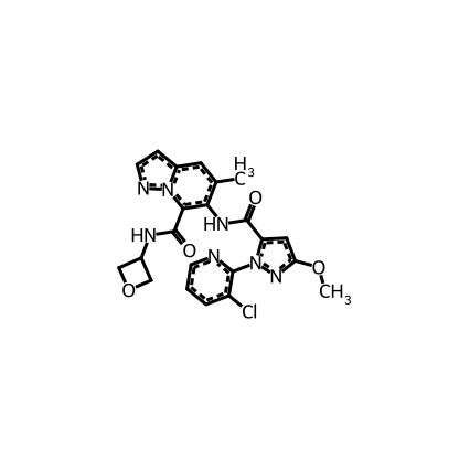 COc1cc(C(=O)Nc2c(C)cc3ccnn3c2C(=O)NC2COC2)n(-c2ncccc2Cl)n1